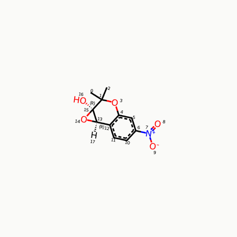 CC1(C)Oc2cc([N+](=O)[O-])ccc2[C@H]2O[C@]21O